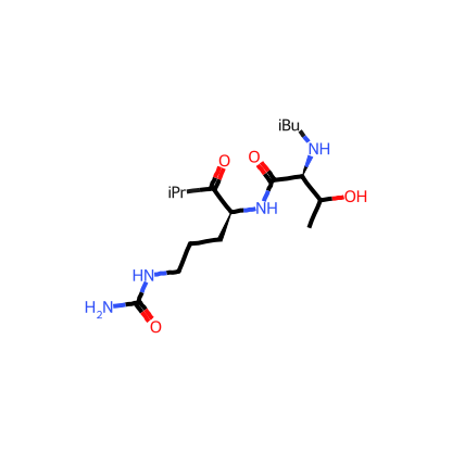 CCC(C)N[C@H](C(=O)N[C@@H](CCCNC(N)=O)C(=O)C(C)C)C(C)O